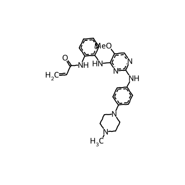 C=CC(=O)Nc1ccccc1Nc1nc(Nc2ccc(N3CCN(C)CC3)cc2)ncc1OC